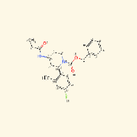 CCC(=O)N[C@H]1CCN(C(=O)OCc2ccccc2)[C@@H](c2ccc(F)cc2C)C1